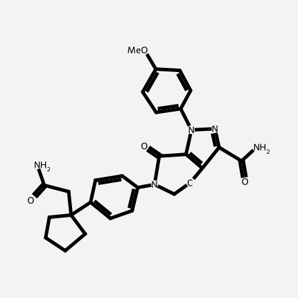 COc1ccc(-n2nc(C(N)=O)c3c2C(=O)N(c2ccc(C4(CC(N)=O)CCCC4)cc2)CC3)cc1